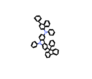 c1ccc(-c2ccc(N(c3ccccc3)c3ccc4c(c3)c3cc(C5(c6ccccc6)c6ccccc6-c6ccccc65)ccc3n4-c3ccccc3)c3ccccc23)cc1